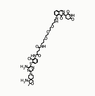 C[C@@H]1OCC2(CCN(c3cnc(Sc4cccc(NC(=O)CCC(=O)NCCCOCCOCCOCCCNc5cccc6cnn(C7CCC(=O)NC7=O)c(=O)c56)c4Cl)c(N)n3)CC2)[C@@H]1N